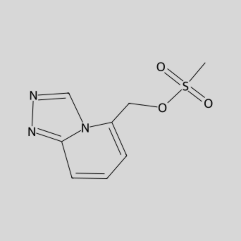 CS(=O)(=O)OCc1cccc2nncn12